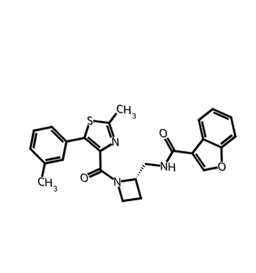 Cc1cccc(-c2sc(C)nc2C(=O)N2CC[C@H]2CNC(=O)c2coc3ccccc23)c1